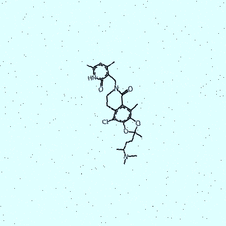 Cc1cc(C)c(CN2CCc3c(Cl)c4c(c(C)c3C2=O)OC(C)(CCC(C)N(C)C)O4)c(=O)[nH]1